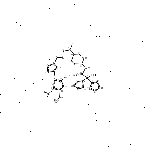 COc1cc(-c2noc(CCCN(C)C3CCC(OC(=O)C(O)(c4cccs4)c4cccs4)CC3)n2)c(Cl)cc1CO